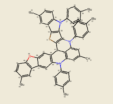 Cc1cc2c3c(c1)N(c1ccc(C(C)(C)C)cc1)c1c(sc4c5cc(C(C)(C)C)ccc5n(-c5ccc(C(C)(C)C)cc5)c14)B3c1cc3oc4ccc(C(C)(C)C)cc4c3cc1N2c1ccc(C(C)(C)C)cc1